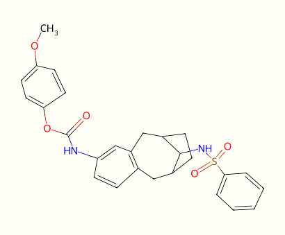 COc1ccc(OC(=O)Nc2ccc3c(c2)CC2CCC(C3)C2NS(=O)(=O)c2ccccc2)cc1